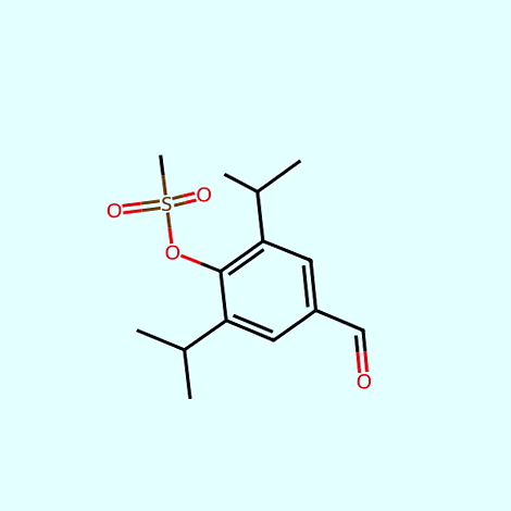 CC(C)c1cc(C=O)cc(C(C)C)c1OS(C)(=O)=O